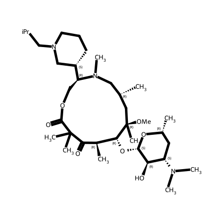 CO[C@]1(C)C[C@@H](C)CN(C)[C@H]([C@H]2CCCN(CC(C)C)C2)COC(=O)C(C)(C)C(=O)[C@H](C)[C@H]1O[C@@H]1O[C@H](C)C[C@H](N(C)C)[C@H]1O